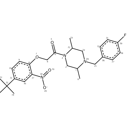 CC1CN(C(=O)COc2ccc(C(C)(C)C)cc2[N+](=O)[O-])C(C)CN1Cc1ccc(F)cc1